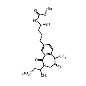 CCOC(=O)CC(C)N1CC(=O)N(C)c2ccc(CCCC(S)NC(=O)OC(C)(C)C)cc2C1=O